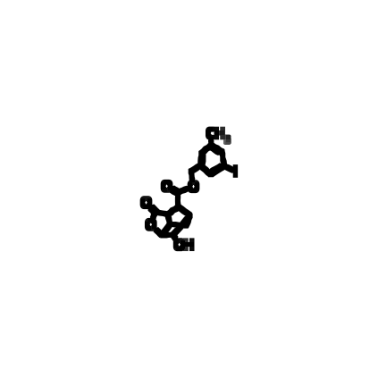 Cc1cc(I)cc(COC(=O)C2C3CC4C(OC(=O)C42)C3O)c1